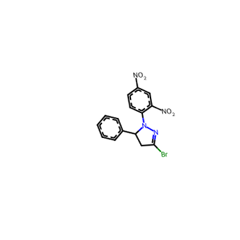 O=[N+]([O-])c1ccc(N2N=C(Br)CC2c2ccccc2)c([N+](=O)[O-])c1